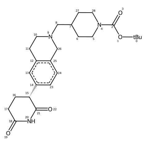 CC(C)(C)OC(=O)N1CCC(CN2CCc3cc([C@H]4CCC(=O)NC4=O)ccc3C2)CC1